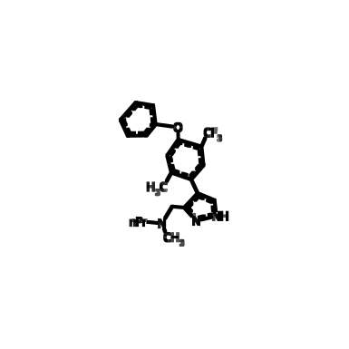 CCCN(C)Cc1n[nH]cc1-c1cc(C(F)(F)F)c(Oc2ccccc2)cc1C